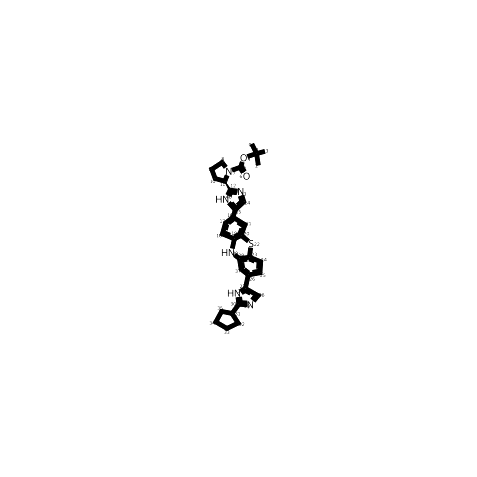 CC(C)(C)OC(=O)N1CCC[C@@H]1c1ncc(-c2ccc3c(c2)Sc2ccc(-c4cnc(C5CCCC5)[nH]4)cc2N3)[nH]1